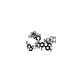 Cc1cc2c(N3CCC[C@]4(CNS(=O)(=O)N4)C3)nc(OC[C@@]34CCCN3C[C@H](F)C4)nc2c(F)c1-c1ccc(F)c2sc(NC(=O)O)c(C#N)c12